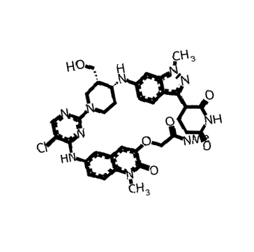 CNC(=O)COc1cc2cc(Nc3nc(N4CC[C@@H](Nc5ccc6c(C7CCC(=O)NC7=O)nn(C)c6c5)[C@@H](CO)C4)ncc3Cl)ccc2n(C)c1=O